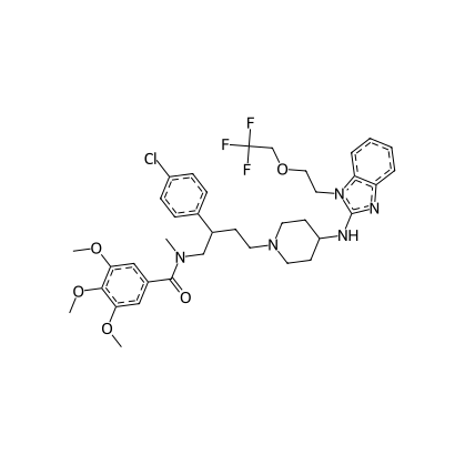 COc1cc(C(=O)N(C)CC(CCN2CCC(Nc3nc4ccccc4n3CCOCC(F)(F)F)CC2)c2ccc(Cl)cc2)cc(OC)c1OC